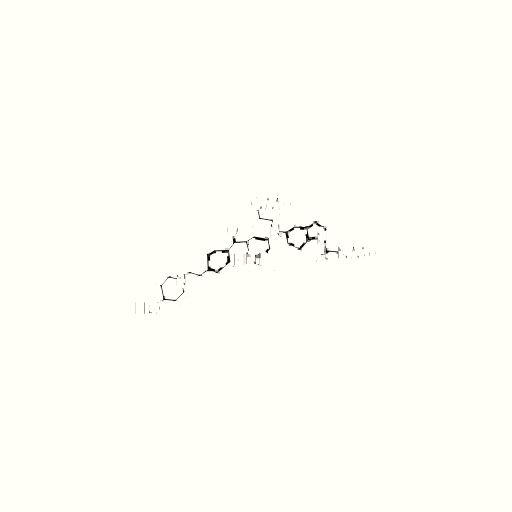 C=C/C(=C\C(N)C(=O)c1ccc(CCN2CCC(O)CC2)cc1)N(CCOC)c1ccc2c(ccn2C(=O)NC)c1